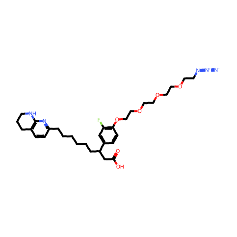 [N-]=[N+]=NCCOCCOCCOCCOc1ccc(C(CCCCCCc2ccc3c(n2)NCCC3)CC(=O)O)cc1F